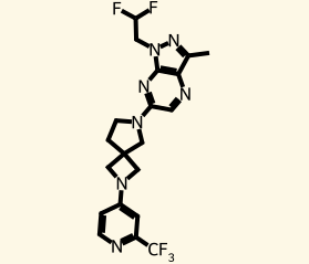 Cc1nn(CC(F)F)c2nc(N3CCC4(CN(c5ccnc(C(F)(F)F)c5)C4)C3)cnc12